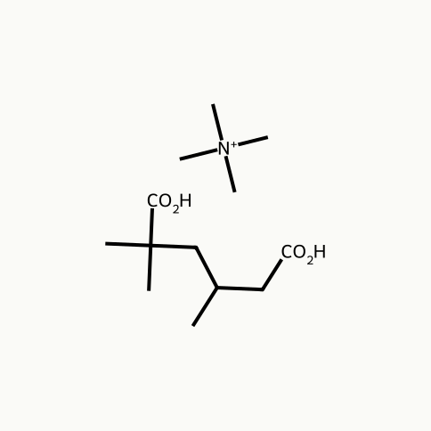 CC(CC(=O)O)CC(C)(C)C(=O)O.C[N+](C)(C)C